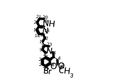 COC(=O)C[C@@H](CN1CC[C@@H](CCc2ccc3c(n2)NCCC3)C1)c1cccc(Br)c1